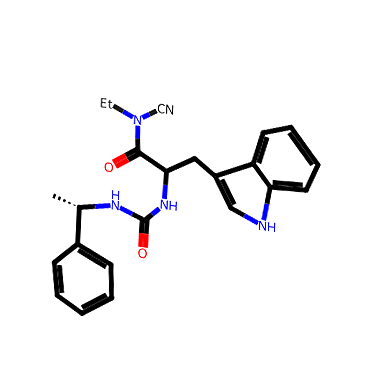 CCN(C#N)C(=O)C(Cc1c[nH]c2ccccc12)NC(=O)N[C@@H](C)c1ccccc1